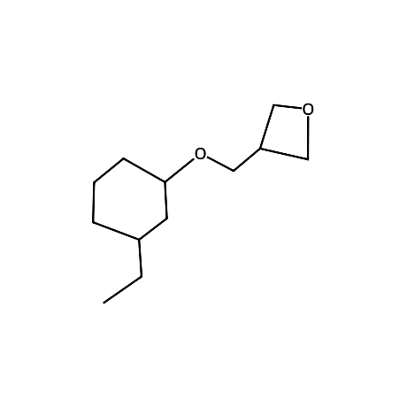 CCC1CCCC(OCC2COC2)C1